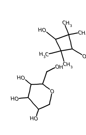 CC1(C)C(O)C(C)(C)C1O.OCC1OCC(O)C(O)C1O